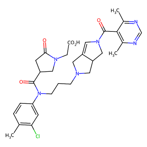 Cc1ccc(N(CCCN2CC3=CN(C(=O)c4c(C)ncnc4C)CC3C2)C(=O)C2CC(=O)N(CC(=O)O)C2)cc1Cl